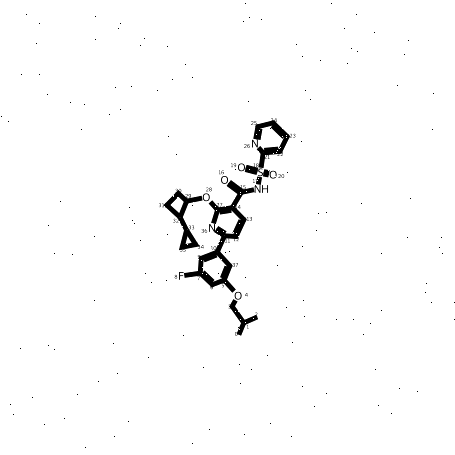 CC(C)COc1cc(F)cc(-c2ccc(C(=O)NS(=O)(=O)c3ccccn3)c(OC3CCC3C3CC3)n2)c1